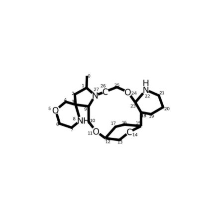 CC1CC2(COCCN2)C2COC3CCC(CC3)C3CCCNC3OCCN12